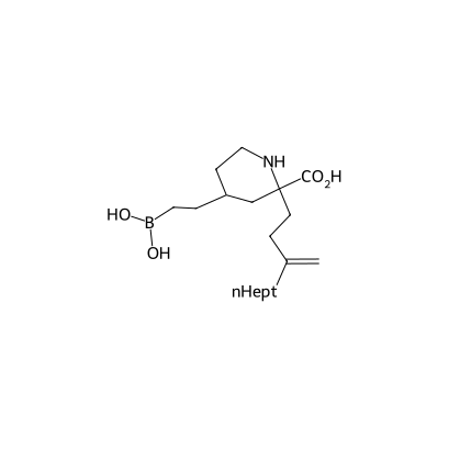 C=C(CCCCCCC)CCC1(C(=O)O)CC(CCB(O)O)CCN1